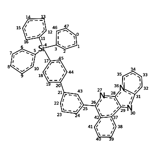 c1ccc([Si](c2ccccc2)(c2ccccc2)c2ccc(-c3cccc(-c4nc5c(nc6ccccn65)c5ccccc45)c3)cc2)cc1